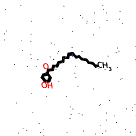 CCCCCCCC/C=C\CCCCCCCC(=O)c1ccc(O)cc1